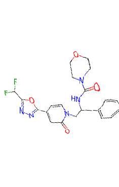 O=C(NC(Cn1ccc(-c2nnc(C(F)F)o2)cc1=O)c1ccccc1)N1CCOCC1